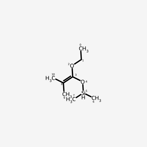 CCOC(O[SiH](C)C)=C(C)C